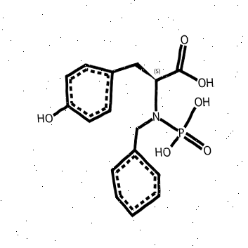 O=C(O)[C@H](Cc1ccc(O)cc1)N(Cc1ccccc1)P(=O)(O)O